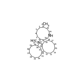 CC1CCCCC([N+](C)(C2CCCCCCCCCC2)C2CCCCCCCCCC2)CCNCC1